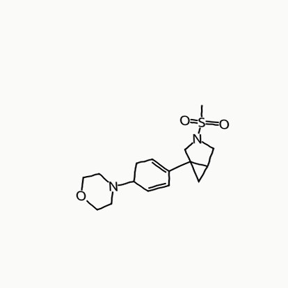 CS(=O)(=O)N1CC2CC2(C2=CCC(N3CCOCC3)C=C2)C1